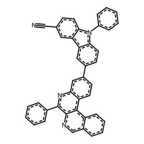 N#Cc1ccc2c(c1)c1cc(-c3ccc4c(c3)nc(-c3ccccc3)c3ncc5ccccc5c34)ccc1n2-c1ccccc1